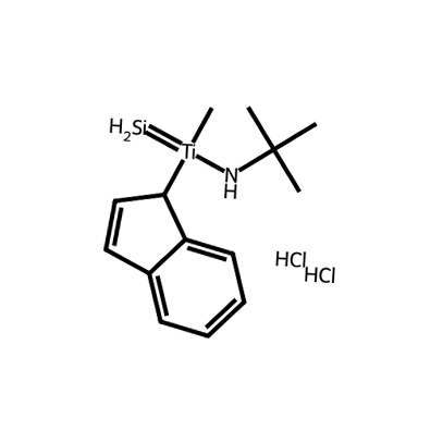 CC(C)(C)[NH][Ti]([CH3])(=[SiH2])[CH]1C=Cc2ccccc21.Cl.Cl